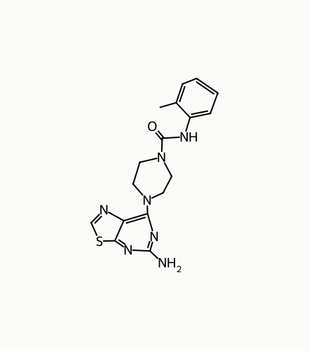 Cc1ccccc1NC(=O)N1CCN(c2nc(N)nc3scnc23)CC1